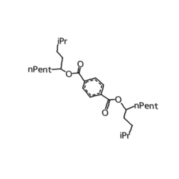 CCCCCC(CCC(C)C)OC(=O)c1ccc(C(=O)OC(CCCCC)CCC(C)C)cc1